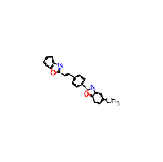 Cc1ccc2oc(-c3ccc(/C=C/c4nc5ccccc5o4)cc3)nc2c1